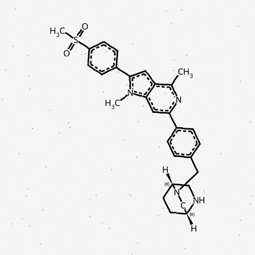 Cc1nc(-c2ccc(CN3C[C@H]4CC[C@@H]3CN4)cc2)cc2c1cc(-c1ccc(S(C)(=O)=O)cc1)n2C